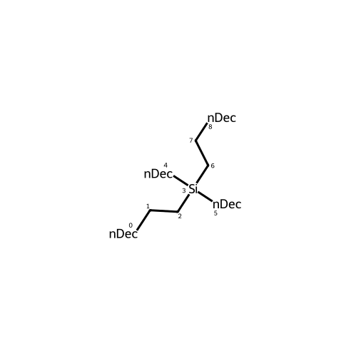 CCCCCCCCCCCC[Si](CCCCCCCCCC)(CCCCCCCCCC)CCCCCCCCCCCC